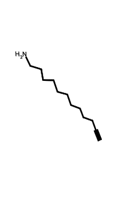 C#CCCCCCCCCCCN